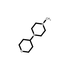 CN1CCN(C2CCOCC2)CC1